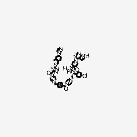 Cc1cc(-n2ccnc2)ccc1CSc1nnc(C(=O)N2CCN(CC34CCC(C(=O)N5CCN(CC[C@H](NC(=O)C6(N)CCN(c7ncnc8[nH]ccc78)CC6)c6ccc(Cl)cc6)CC5)(CC3)CO4)CC2)s1